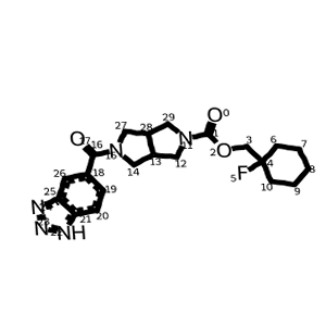 O=C(OCC1(F)CCCCC1)N1CC2CN(C(=O)c3ccc4[nH]nnc4c3)CC2C1